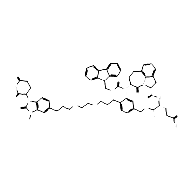 C[C@@H](OCc1ccc(CCCOCCOCCCc2ccc3c(c2)n(C)c(=O)n3C2CCC(=O)NC2=O)cc1)[C@H](CCC(N)=O)NC(=O)[C@@H]1Cc2cccc3c2N1C(=O)[C@@H](NC(=O)OCC1c2ccccc2-c2ccccc21)CC3